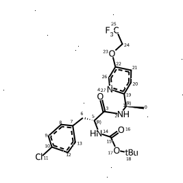 C[C@@H](NC(=O)[C@@H](Cc1ccc(Cl)cc1)NC(=O)OC(C)(C)C)c1ccc(OCC(F)(F)F)cn1